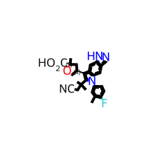 Cc1cc(-n2c(C(C)(C)CC#N)c([C@H]3CO[C@](C)(C(=O)O)C3)c3cc4[nH]ncc4cc32)ccc1F